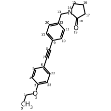 CCOc1ccc(C#Cc2ccc(CN3CCCC3=O)cc2)cc1